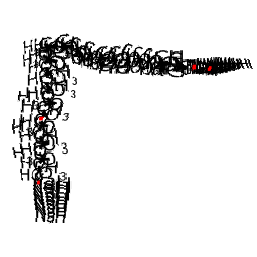 CC(=O)O.CC(=O)O.CC(=O)O.CC(=O)O.CC(=O)O.CC(=O)O.CC(=O)O.CC(=O)O.CC(=O)O.CC(=O)O.CC(=O)O.CC(=O)O.CC(=O)O.CC(=O)O.CC(=O)O.CC(=O)O.CC(=O)O.CC(=O)O.CC(=O)O.CC(=O)O.[NaH].[NaH].[NaH].[NaH].[NaH].[NaH].[NaH].[NaH].[NaH].[NaH].[NaH].[NaH].[NaH].[NaH].[NaH].[NaH].[NaH].[NaH].[NaH].[NaH]